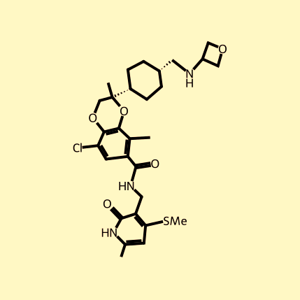 CSc1cc(C)[nH]c(=O)c1CNC(=O)c1cc(Cl)c2c(c1C)OC(C)([C@H]1CC[C@@H](CNC3COC3)CC1)CO2